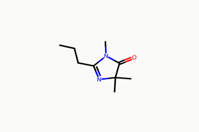 CCCC1=NC(C)(C)C(=O)N1C